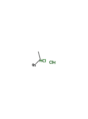 C[CH2][In].Cl.Cl